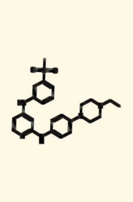 CCN1CCN(c2ccc(Nc3cc(Nc4cccc(S(C)(=O)=O)c4)ccn3)cc2)CC1